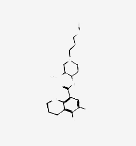 COC1CN(CCCOC(C)C)CCC1NC(=O)c1cc(Cl)c(N)c2c1OCCC2